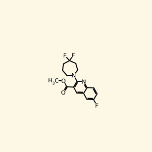 COC(=O)c1cc2cc(F)ccc2nc1N1CCCC(F)(F)CC1